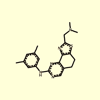 Cc1cc(C)cc(Nc2ncc3c(n2)-c2nc(CN(C)C)sc2CC3)c1